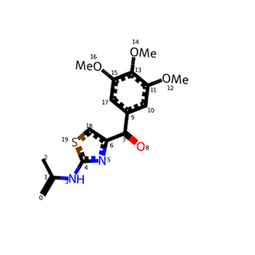 C=C(C)Nc1nc(C(=O)c2cc(OC)c(OC)c(OC)c2)cs1